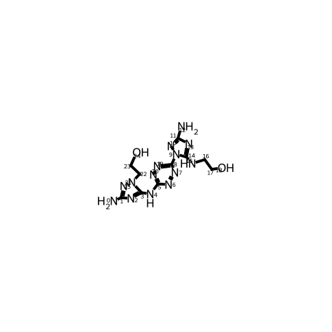 Nc1nc(Nc2nnc(-n3nc(N)nc3NCCO)nn2)n(CCO)n1